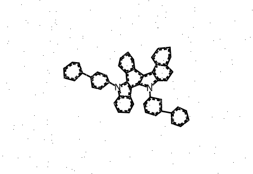 c1ccc(-c2ccc(-n3c4ccccc4c4c3c3ccccc3c3c5c6ccccc6ccc5n(-c5cccc(-c6ccccc6)c5)c34)cc2)cc1